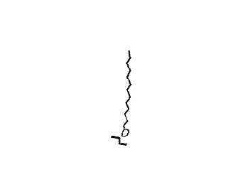 C=CC(=C)OCCCCCCCCCCCCC